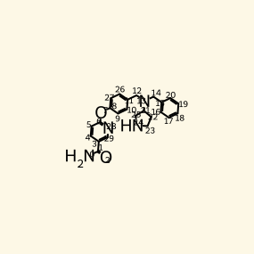 NC(=O)c1ccc(Oc2ccc(CN(Cc3ccccc3)C3CCNC3)cc2)nc1